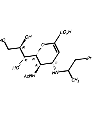 CC(=O)N[C@H]1[C@H]([C@H](O)[C@H](O)CO)OC(C(=O)O)=C[C@@H]1NC(C)CC(C)C